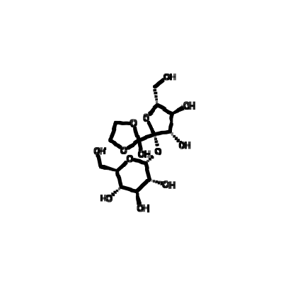 OC[C@H]1O[C@](O[C@H]2O[C@H](CO)[C@@H](O)[C@H](O)[C@H]2O)(C2(O)OCCO2)[C@@H](O)[C@@H]1O